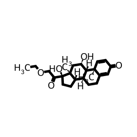 CCOCC(=O)[C@@]1(O)CC[C@H]2[C@@H]3CCC4=CC(=O)C=C[C@]4(C)[C@H]3[C@@H](O)C[C@@]21C